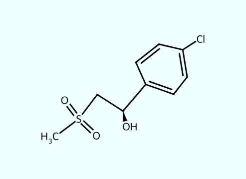 CS(=O)(=O)C[C@H](O)c1ccc(Cl)cc1